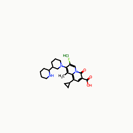 Cc1c(N2CCCC(C3CCCCN3)C2)c(F)cn2c(=O)c(C(=O)O)cc(C3CC3)c12.Cl